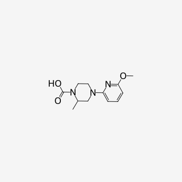 COc1cccc(N2CCN(C(=O)O)C(C)C2)n1